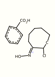 O/N=C1\CCCCCCC1Cl.O=C(O)c1ccccc1